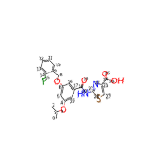 CC(C)Oc1cc(OCc2ccccc2F)cc(C(=O)Nc2nc(C(=O)O)cs2)c1